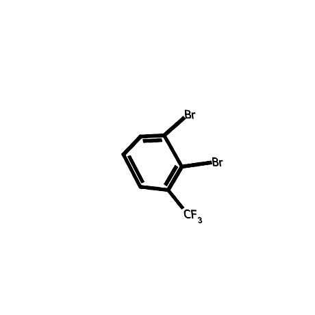 FC(F)(F)c1cccc(Br)c1Br